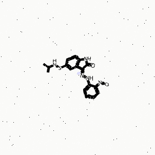 CC(C)NSc1ccc2c(c1)/C(=N/Nc1ccccc1N=O)C(=O)N2